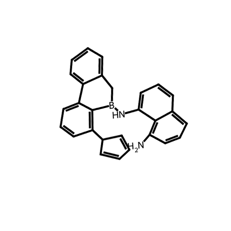 Nc1cccc2cccc(NB3Cc4ccccc4-c4cccc(C5C=CC=C5)c43)c12